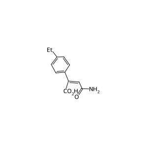 CCc1ccc(/C(=C/C(N)=O)C(=O)O)cc1